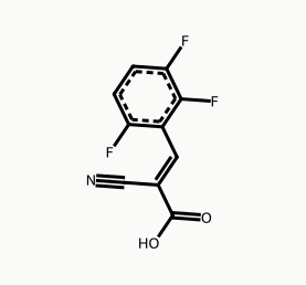 N#CC(=Cc1c(F)ccc(F)c1F)C(=O)O